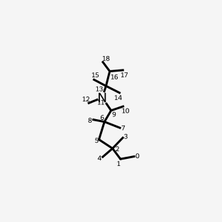 CCC(C)(C)CC(C)(C)C(C)N(C)C(C)(C)C(C)C